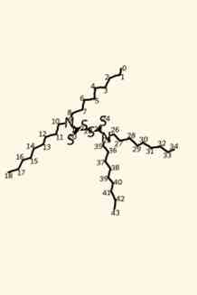 CCCCCCCCCN(CCCCCCCCC)C(=S)SSC(=S)N(CCCCCCCCC)CCCCCCCCC